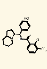 Cl.O=C(NC(c1ccccc1)C1CCC2CCCCN21)c1cccc(C(F)(F)F)c1Cl